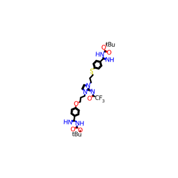 CC(C)(C)OC(=O)NC(=N)c1ccc(OCCCn2ccn(CCCSc3ccc(C(=N)NC(=O)OC(C)(C)C)cc3)/c2=N/C(=O)C(F)(F)F)cc1